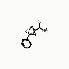 NC(=O)c1noc(-c2ccccc2)n1